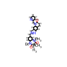 CCN1C(=O)C(C)(C)C(=O)N(C)c2cc(CNCc3ccc4c(c3)N(Cc3ccccn3)C(=O)CC4)ccc21